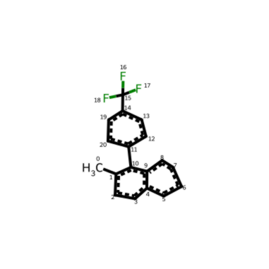 Cc1ccc2ccccc2c1-c1ccc(C(F)(F)F)cc1